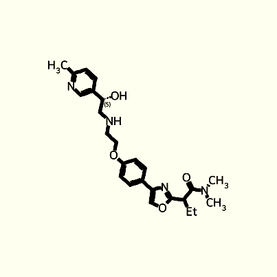 CCC(C(=O)N(C)C)c1nc(-c2ccc(OCCNC[C@@H](O)c3ccc(C)nc3)cc2)co1